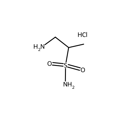 CC(CN)S(N)(=O)=O.Cl